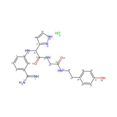 Cl.N=C(N)c1cccc(NC(C(=O)NCC(=O)NCCc2ccc(O)cc2)c2cc[nH]n2)c1